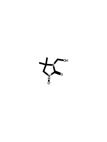 CC1(C)C[NH+]([O-])C(=O)N1CO